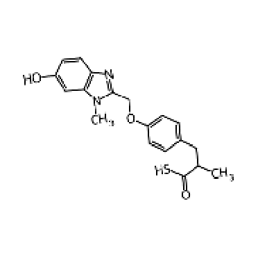 CC(Cc1ccc(OCc2nc3ccc(O)cc3n2C)cc1)C(=O)S